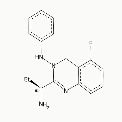 CC[C@H](N)C1=Nc2cccc(F)c2CN1Nc1ccccc1